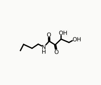 CCCCNC(=O)C(=O)C(O)CO